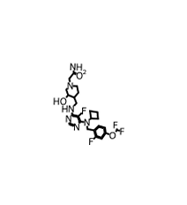 NC(=O)CN1CCC(CNc2ncnc(N(Cc3ccc(OC(F)F)cc3F)C3CCC3)c2F)C(O)C1